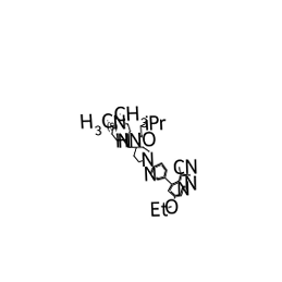 CCOc1cc(-c2ccc(N3CCC(CN4CC[C@H](C)N(C)CC4)(NC(=O)CC(C)C)CC3)nc2)c2c(C#N)cnn2c1